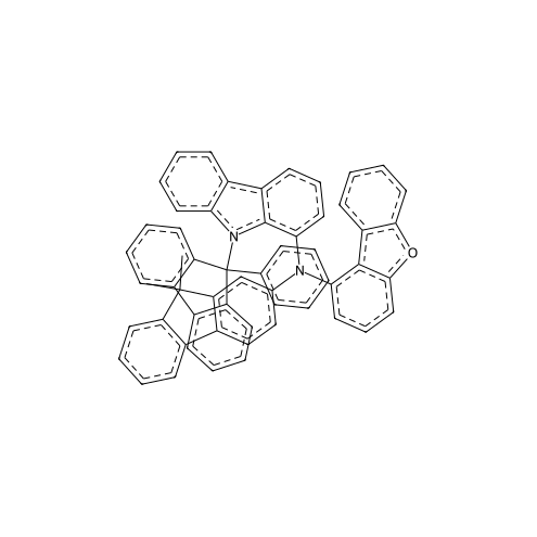 CC1(C)c2ccccc2-c2ccc(N(c3cccc4oc5ccccc5c34)c3cccc4c5ccccc5n(C5(c6ccccc6)c6ccccc6-c6ccccc65)c34)cc21